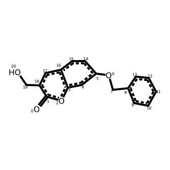 O=c1oc2cc(OCc3ccccc3)ccc2cc1CO